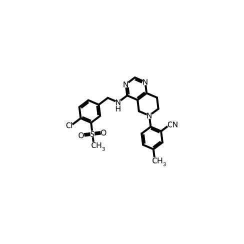 Cc1ccc(N2CCc3ncnc(NCc4ccc(Cl)c(S(C)(=O)=O)c4)c3C2)c(C#N)c1